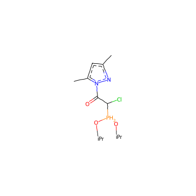 Cc1cc(C)n(C(=O)C(Cl)[PH2](OC(C)C)OC(C)C)n1